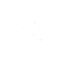 CS(=O)(=O)CC1(c2ccc(N3C(=O)N4CCC[CH][C@@H]4C3C(N)=O)cc2)CC1